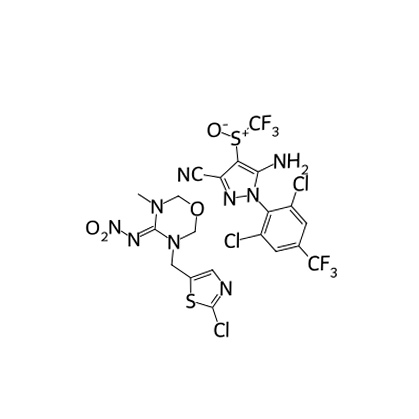 CN1COCN(Cc2cnc(Cl)s2)/C1=N/[N+](=O)[O-].N#Cc1nn(-c2c(Cl)cc(C(F)(F)F)cc2Cl)c(N)c1[S+]([O-])C(F)(F)F